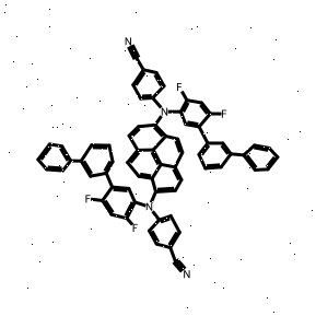 N#Cc1ccc(N(c2cc(-c3cccc(-c4ccccc4)c3)c(F)cc2F)c2ccc3ccc4c(N(c5ccc(C#N)cc5)c5cc(-c6cccc(-c7ccccc7)c6)c(F)cc5F)ccc5ccc2c3c54)cc1